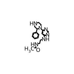 CC(=O)NCCNc1cc(N2CCNCC2c2ccccc2)ncn1